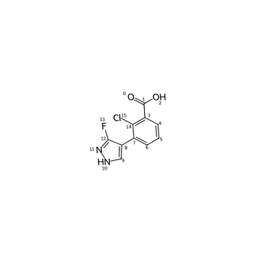 O=C(O)c1cccc(-c2c[nH]nc2F)c1Cl